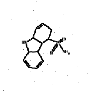 NS(=O)(=O)C1CC=CC2NC3C=CC=CC3C21